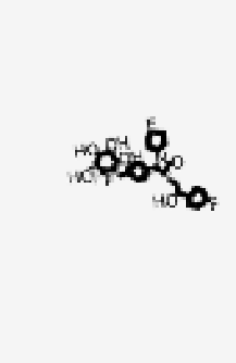 O=C1[C@H](CC[C@H](O)c2ccc(F)cc2)[C@@H](c2ccc(C[C@H]3[C@H](O)[C@@H](O)[C@H](O)[C@@H](CO)C3(F)F)cc2)N1c1ccc(F)cc1